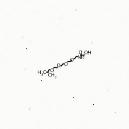 CC(C)COCCOCCOCCOCCNC(=O)CO